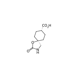 O=C1NC[C@]2(CC[C@@H](C(=O)O)CC2)O1